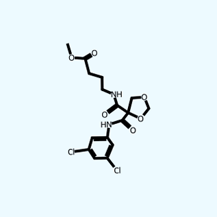 COC(=O)CCCNC(=O)C1(C(=O)Nc2cc(Cl)cc(Cl)c2)COCO1